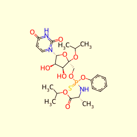 CC(C)OC(=O)[C@@H](C)NP(=S)(OC[C@@]1(OC(C)C)O[C@@H](n2ccc(=O)[nH]c2=O)[C@H](O)[C@@H]1O)Oc1ccccc1